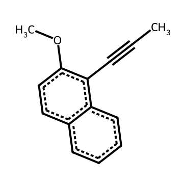 CC#Cc1c(OC)ccc2ccccc12